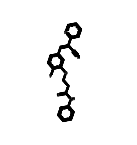 N#CC(=Cc1ccc(F)c(OCCC(=O)Nc2[c]cccc2)c1)c1ccccn1